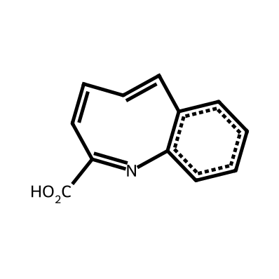 O=C(O)C1=N/c2ccccc2/C=C/C=C\1